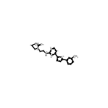 Cc1cccc(-c2ccc(-c3ccnc(NCCN4CCNC4=O)n3)s2)c1